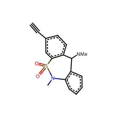 C#Cc1ccc2c(c1)S(=O)(=O)N(C)c1ccccc1C2NC